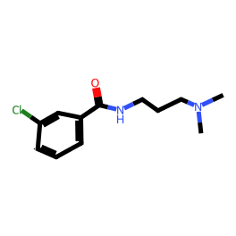 CN(C)CCCNC(=O)c1cc[c]c(Cl)c1